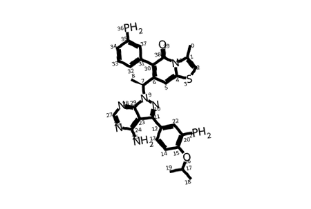 Cc1csc2cc([C@H](C)n3nc(-c4ccc(OC(C)C)c(P)c4)c4c(N)ncnc43)c(-c3cccc(P)c3)c(=O)n12